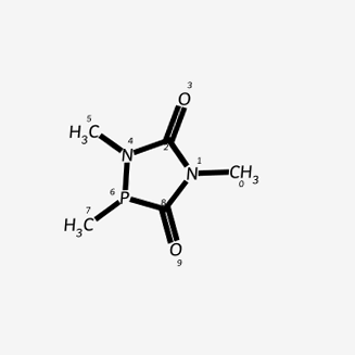 Cn1c(=O)n(C)p(C)c1=O